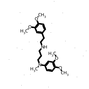 COc1ccc(CCNCCCN(C)c2ccc(OC)c(OC)c2)cc1OC